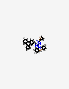 c1csc(-c2nc(-c3ccc4c5ccccc5c5ccccc5c4c3)nc(N3c4ccccc4Sc4ccccc43)n2)c1